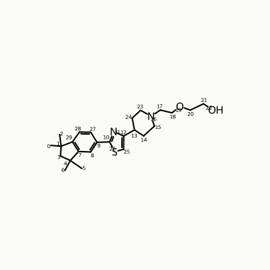 CC1(C)CC(C)(C)c2cc(-c3nc(C4CCN(CCOCCO)CC4)cs3)ccc21